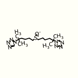 CC(C)(CCCC[S+]([O-])CCCCC(C)(C)n1cnnn1)n1cnnn1